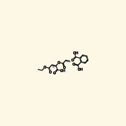 C=CC(=O)O/C(=C/C(=O)OCC)C(=O)O.O=C(O)c1ccccc1C(=O)O